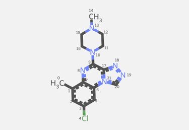 Cc1cc(Cl)cc2c1nc(N1CCN(C)CC1)c1nncn12